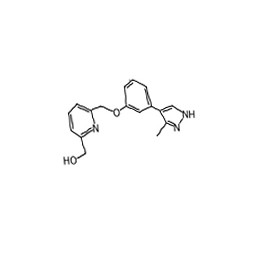 Cc1n[nH]cc1-c1c[c]cc(OCc2cccc(CO)n2)c1